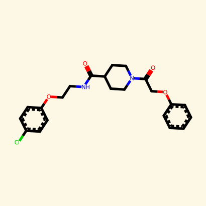 O=C(NCCOc1ccc(Cl)cc1)C1CCN(C(=O)COc2ccccc2)CC1